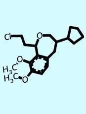 COc1ccc2c(c1OC)C(CCCl)OCC(C1CCCC1)C2